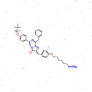 CC(C)(C)[Si](C)(C)Oc1ccc(C2=CN3C(=O)/C(=C/c4ccc(OCCCCCCN=[N+]=[N-])c(F)c4)N=C3C(Cc3ccccc3)=N2)cc1